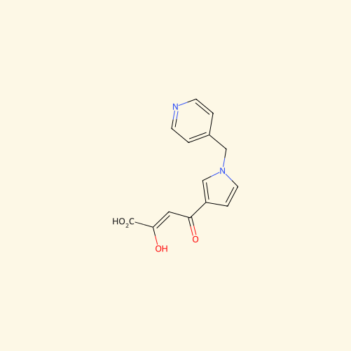 O=C(O)C(O)=CC(=O)c1ccn(Cc2ccncc2)c1